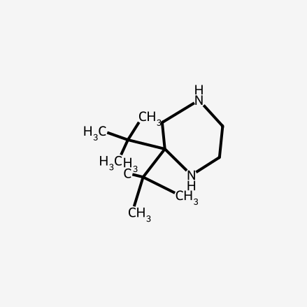 CC(C)(C)C1(C(C)(C)C)CNCCN1